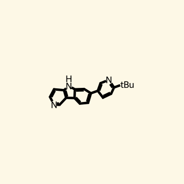 CC(C)(C)c1ccc(-c2ccc3c(c2)[nH]c2ccncc23)cn1